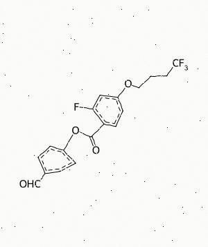 O=Cc1ccc(OC(=O)c2ccc(OCCCC(F)(F)F)cc2F)cc1